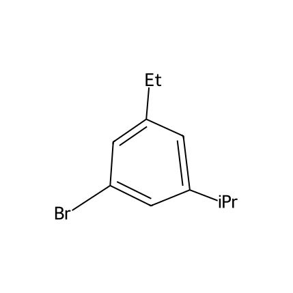 [CH2]C(C)c1cc(Br)cc(CC)c1